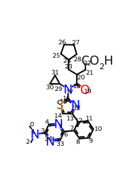 CN(C)c1cnc(-c2ccccc2-c2csc(N(C(=O)C(CC(=O)O)CC3CCCC3)C3CC3)n2)cn1